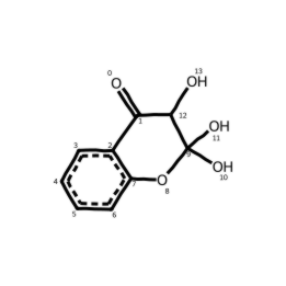 O=C1c2ccccc2OC(O)(O)C1O